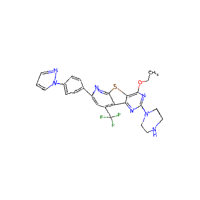 CCOc1nc(N2CCNCC2)nc2c1sc1nc(-c3ccc(-n4cccn4)cc3)cc(C(F)(F)F)c12